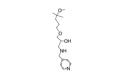 COC(C)(C)CCCOCC(O)CNCc1ccncc1